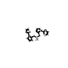 CCN(Cc1cccn1-c1nccs1)Cc1cccn1-c1nccs1